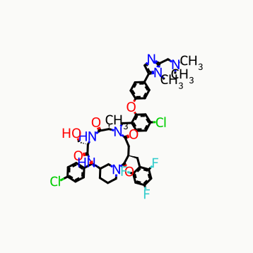 C[C@H]1C(=O)N[C@@H](CO)C(=O)N[C@@]2(Cc3ccc(Cl)cc3)CCCN(C2)C(=O)[C@H](Cc2c(F)cc(F)cc2F)CC(=O)N1Cc1ccc(Cl)cc1Oc1ccc(-c2cnc(CN(C)C)n2C)cc1